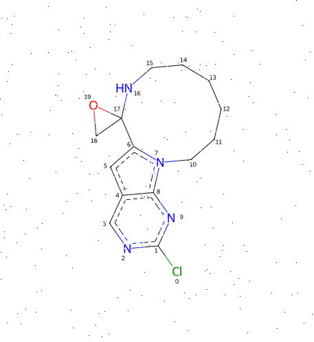 Clc1ncc2cc3n(c2n1)CCCCCCNC31CO1